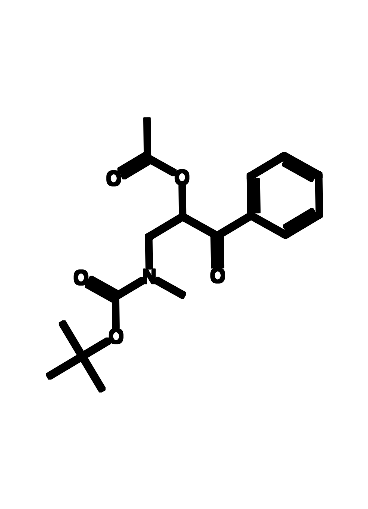 CC(=O)OC(CN(C)C(=O)OC(C)(C)C)C(=O)c1ccccc1